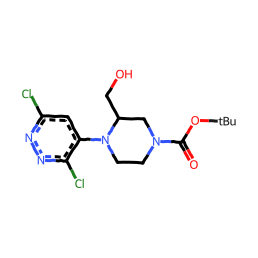 CC(C)(C)OC(=O)N1CCN(c2cc(Cl)nnc2Cl)C(CO)C1